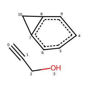 C#CCO.c1ccc2c(c1)C2